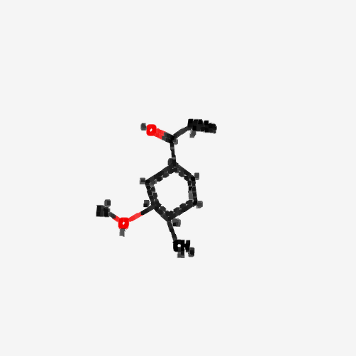 CCOc1cc(C(=O)NC)ccc1C